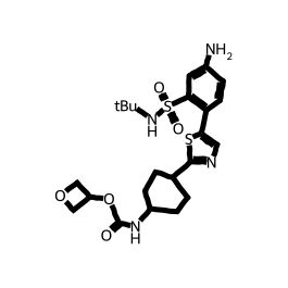 CC(C)(C)NS(=O)(=O)c1cc(N)ccc1-c1cnc(C2CCC(NC(=O)OC3COC3)CC2)s1